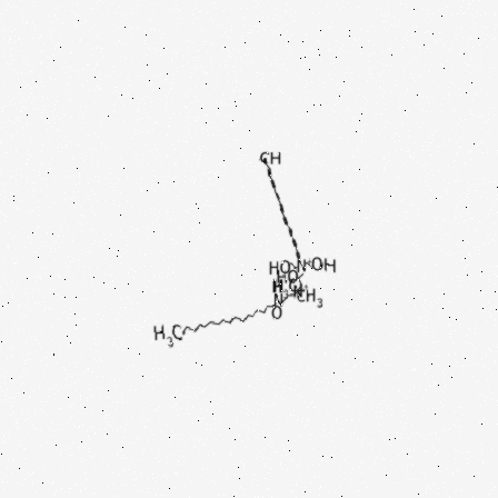 C#CC#CC#CC#CC#CC#CC#CC#CC#C[N+](CCO)(CCO)CC(O)C[N+](C)(C)CCCNC(=O)CCCCCCCCCCCCCCCCC